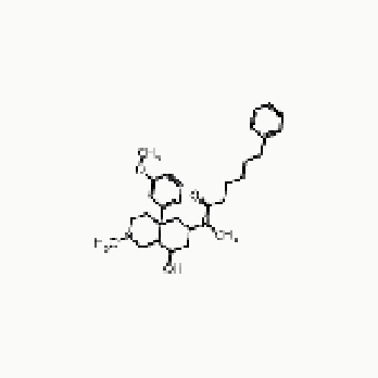 COc1cccc(C23CCN(C)CC2C(O)CC(N(C)C(=O)CCCCCc2ccccc2)C3)c1